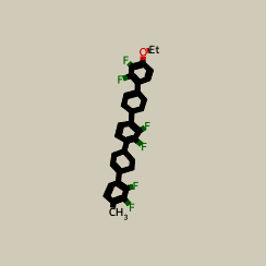 CCOc1ccc(C2=CCC(c3ccc(C4CC=C(c5ccc(C)c(F)c5F)CC4)c(F)c3F)CC2)c(F)c1F